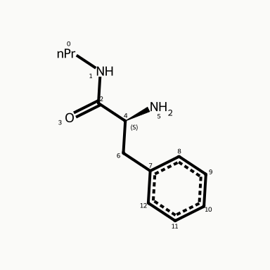 [CH2]CCNC(=O)[C@@H](N)Cc1ccccc1